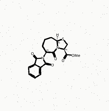 COC(=O)[C@@H]1CS[C@@H]2CCC[C@H](N3C(=O)c4ccccc4C3=O)C(=O)N21